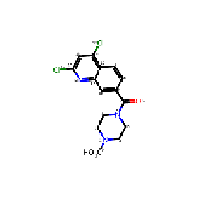 O=C(O)N1CCN(C(=O)c2ccc3c(Cl)cc(Cl)nc3c2)CC1